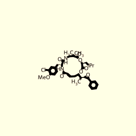 COc1ccc(C[C@H]2NC(=O)/C=C/CC(C(C)[C@H]3OC3c3ccccc3)OC(=O)[C@H](CC(C)C)OC(=O)C(C)(C)CNC2=O)cc1Cl